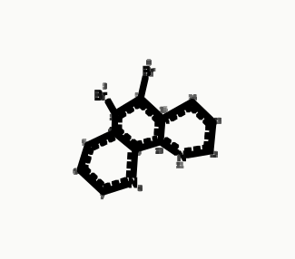 Brc1c(Br)c2cccnc2c2ncccc12